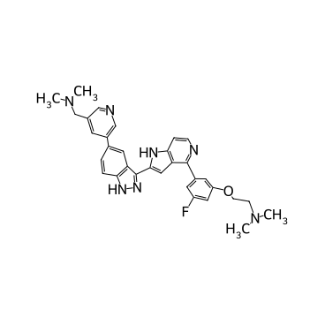 CN(C)CCOc1cc(F)cc(-c2nccc3[nH]c(-c4n[nH]c5ccc(-c6cncc(CN(C)C)c6)cc45)cc23)c1